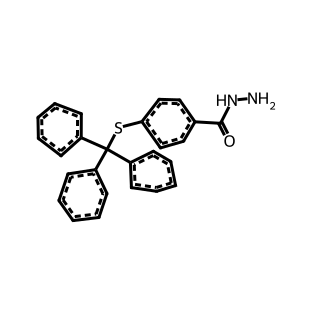 NNC(=O)c1ccc(SC(c2ccccc2)(c2ccccc2)c2ccccc2)cc1